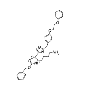 NCCCCC(NC(=O)OCc1ccccc1)C(=O)c1noc(Cc2ccc(OCCOc3ccccc3)cc2)n1